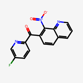 O=C(c1ccc(F)cn1)c1ccc2cccnc2c1[N+](=O)[O-]